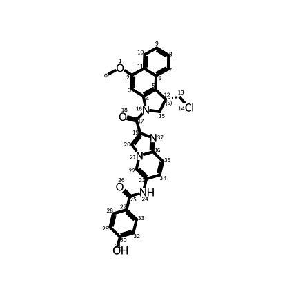 COc1cc2c(c3ccccc13)[C@H](CCl)CN2C(=O)c1cn2cc(NC(=O)c3ccc(O)cc3)ccc2n1